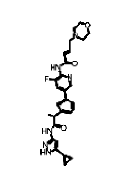 CC(C(=O)Nc1cc(C2CC2)[nH]n1)c1cccc(-c2cnc(NC(=O)/C=C/CN3CCOCC3)c(F)c2)c1